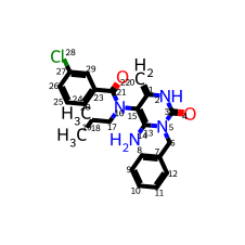 C=C1NC(=O)N(Cc2ccccc2)C(N)=C1N(CC(C)C)C(=O)c1cccc(Cl)c1